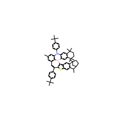 Cc1cc2c3c(c1)N(c1ccc(C(C)(C)C)cc1)c1cc4c(cc1B3c1c(sc3cc5c(cc13)C1(C)CCC(C1)C5C)C(c1ccc(C(C)(C)C)cc1)=C2)C(C)(C)CCC4(C)C